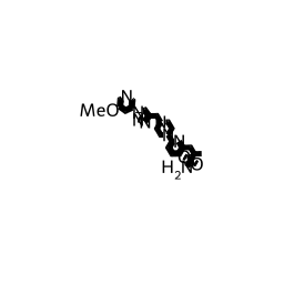 COc1cncc(-n2cc(CN3CCN(c4cccc(CC(C)S(N)(=O)=O)n4)CC3)nn2)c1